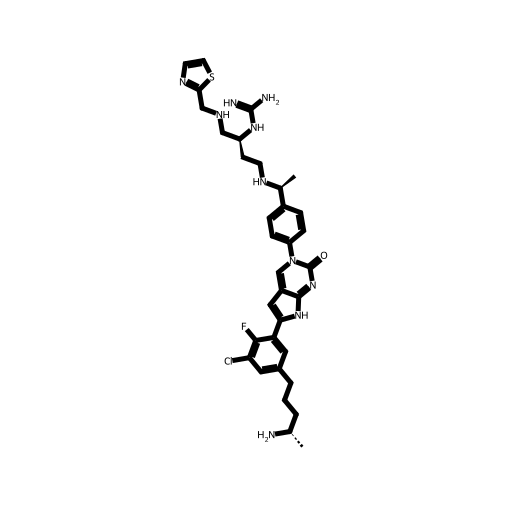 C[C@H](N)CCCc1cc(Cl)c(F)c(-c2cc3cn(-c4ccc([C@H](C)NCC[C@@H](CNCc5nccs5)NC(=N)N)cc4)c(=O)nc3[nH]2)c1